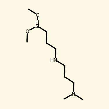 CO[SiH](CCCNCCCN(C)C)OC